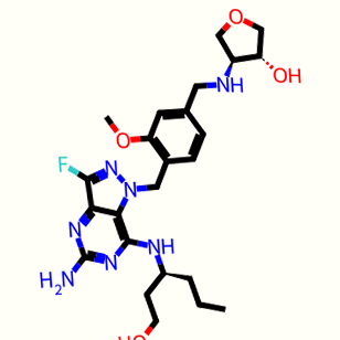 CCC[C@@H](CCO)Nc1nc(N)nc2c(F)nn(Cc3ccc(CN[C@H]4COC[C@@H]4O)cc3OC)c12